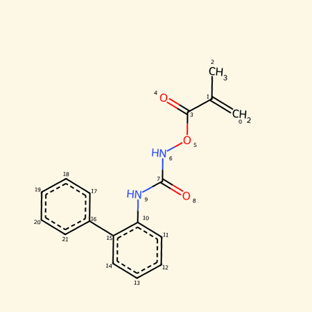 C=C(C)C(=O)ONC(=O)Nc1ccccc1-c1ccccc1